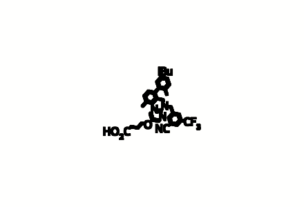 CCC(C)c1ccc(C)c(-c2ccc(C)cc2CN(Cc2cc(C#N)cc(C(F)(F)F)c2)c2ncc(OCCCC(=O)O)cn2)c1